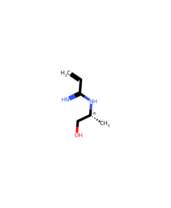 C=CC(=N)N[C@H](C)CO